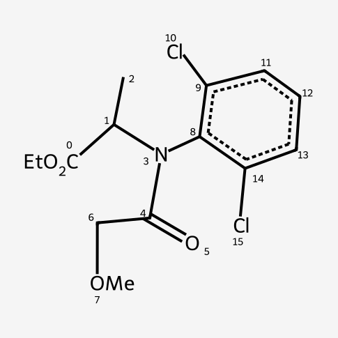 CCOC(=O)C(C)N(C(=O)COC)c1c(Cl)cccc1Cl